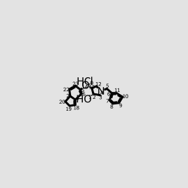 Cl.O[C@H]1CN(Cc2ccccc2)C[C@@H]1OC1=CC2=CCCC2C=C1